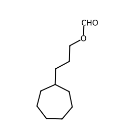 O=COCCCC1CCCCCC1